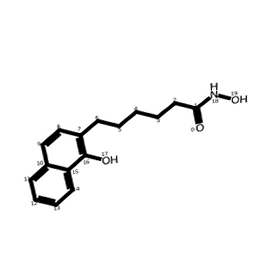 O=C(CCCCCc1ccc2ccccc2c1O)NO